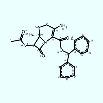 CC(=O)NC1C(=O)N2C(C(=O)OC(c3ccccc3)c3ccccc3)=C(N)CS[C@H]12